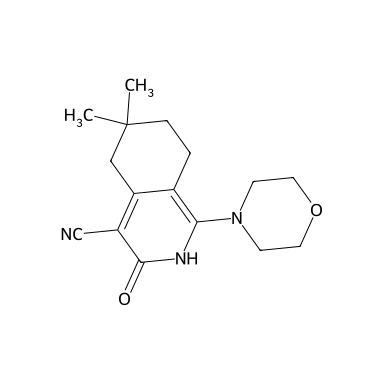 CC1(C)CCc2c(N3CCOCC3)[nH]c(=O)c(C#N)c2C1